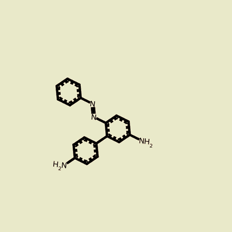 Nc1ccc(-c2cc(N)ccc2N=Nc2ccccc2)cc1